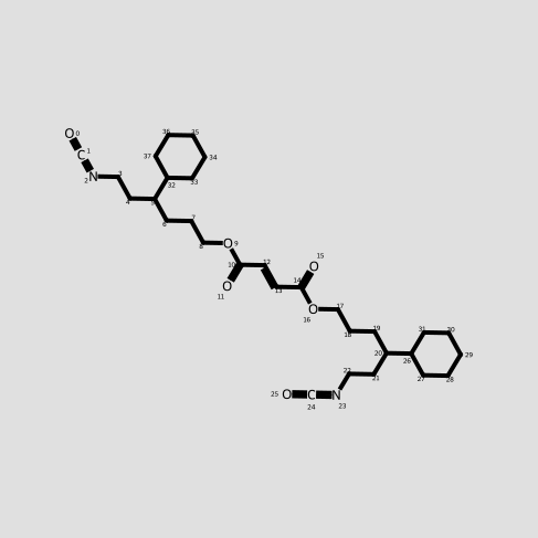 O=C=NCCC(CCCOC(=O)C=CC(=O)OCCCC(CCN=C=O)C1CCCCC1)C1CCCCC1